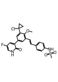 COc1c(C=Cc2ccc(NS(C)(=O)=O)cc2)cc(-c2cc(F)c[nH]c2=O)cc1C1(Cl)CC1